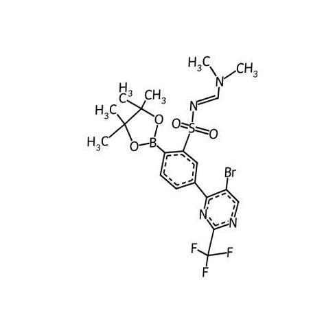 CN(C)C=NS(=O)(=O)c1cc(-c2nc(C(F)(F)F)ncc2Br)ccc1B1OC(C)(C)C(C)(C)O1